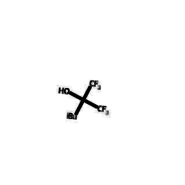 CCC(C)C(O)(C(F)(F)F)C(F)(F)F